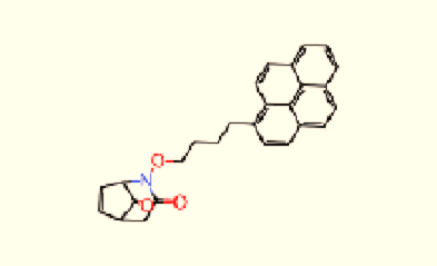 O=C1C2C=CC1N(OCCCCc1ccc3ccc4cccc5ccc1c3c45)C(=O)C2